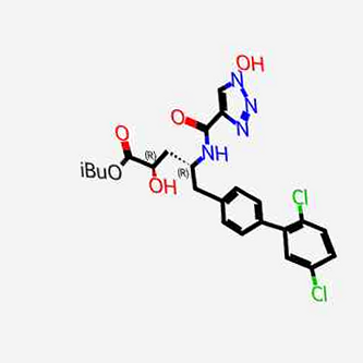 CC(C)COC(=O)[C@H](O)C[C@@H](Cc1ccc(-c2cc(Cl)ccc2Cl)cc1)NC(=O)c1cn(O)nn1